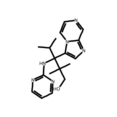 CC(C)C(Nc1ncccn1)(c1cnc2cnccn12)C(C)(C)CO